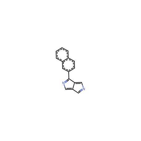 C1=NC=C2C1=CN=C2c1ccc2ccccc2c1